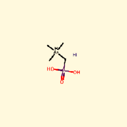 C[AsH](C)(C)CP(=O)(O)O.I